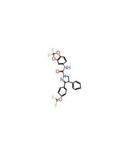 O=C(Nc1ccc2c(c1)OC(F)(F)O2)N1CC(c2ccccc2)C(c2ccc(OC(F)F)cc2)=N1